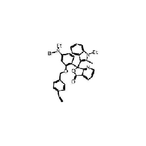 C=Cc1ccc(COc2cc(N(Br)CC)ccc2C2(c3c(C)n(CC)c4ccccc34)OC(=O)c3cccnc32)cc1